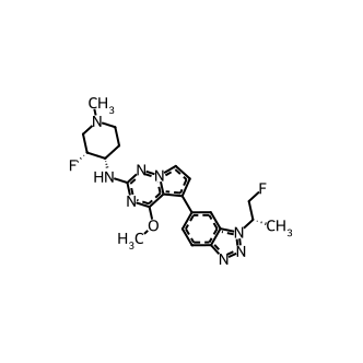 COc1nc(N[C@H]2CCN(C)C[C@H]2F)nn2ccc(-c3ccc4nnn([C@@H](C)CF)c4c3)c12